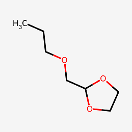 CCCOCC1OCCO1